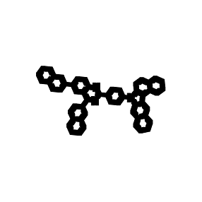 c1ccc2cc(-c3ccc4nc(-c5ccc(-n6c7cc8ccccc8cc7c7c8ccccc8ccc76)cc5)nc(-c5ccc6ccccc6c5)c4c3)ccc2c1